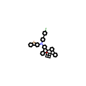 Fc1ccc(-c2ccc(N(c3ccc4c(c3)sc3ccccc34)c3ccc4c(-c5cccc6c5C5(c7ccccc7-6)C6CC7CC8CC5C786)cc5ccccc5c4c3)cc2)cc1